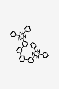 C1=CC(c2cccc(-c3nc(-c4ccccc4)nc(-c4ccccc4)n3)c2)=CC(c2cccc(-c3cccc(-c4nc(-c5ccccc5)nc(-c5ccccc5)n4)c3)c2)C1